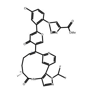 COC(=O)c1cn(-c2ccc(Cl)cc2-c2cc(=O)c(/C3=C/CC[C@@H](C)C(=O)Nc4cnn(C(F)F)c4-c4ccnc3c4)co2)nn1